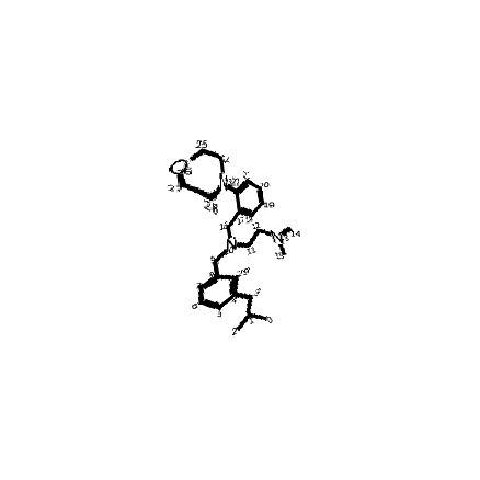 CC(C)Cc1cccc(CN(CCN(C)C)Cc2ccccc2N2CCOCC2)c1